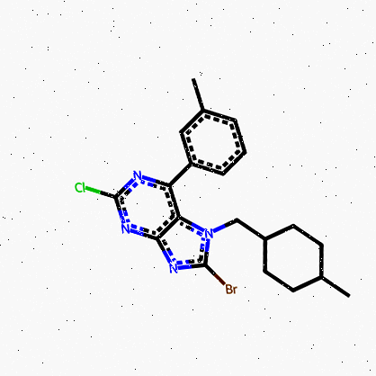 Cc1cccc(-c2nc(Cl)nc3nc(Br)n(CC4CCC(C)CC4)c23)c1